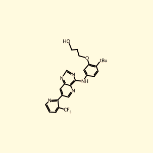 CC(C)(C)c1ccc(Nc2ncnc3cc(-c4ncccc4C(F)(F)F)cnc23)cc1OCCCO